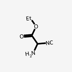 [C-]#[N+]C(N)C(=O)OCC